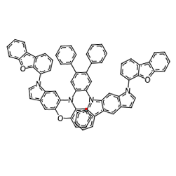 c1ccc(-c2cc(N3c4ccccc4Oc4cc5ccn(-c6cccc7c6oc6ccccc67)c5cc43)c(-n3c4ccccc4c4cc5ccn(-c6cccc7c6oc6ccccc67)c5cc43)cc2-c2ccccc2)cc1